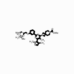 CNC[C@H](COc1cccc(-c2nc(-c3c(C)cnn3C)c(C)c(N3CC4(CCN(C(=O)OC)CC4)C3)n2)c1)O[Si](C)(C)C(C)(C)C